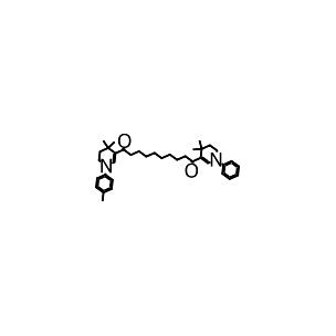 Cc1ccc(N2C=C(C(=O)CCCCCCCCC(=O)C3=CN(c4ccccc4)CCC3(C)C)C(C)(C)CC2)cc1